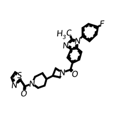 Cc1nc2cc(C(=O)N3CC(C4CCN(C(=O)c5nccs5)CC4)C3)ccc2n1-c1ccc(F)cc1